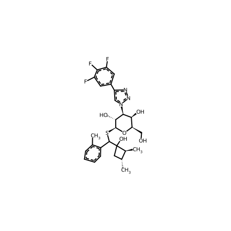 Cc1ccccc1C(S[C@@H]1O[C@H](CO)[C@H](O)[C@H](n2cc(-c3cc(F)c(F)c(F)c3)nn2)[C@H]1O)C1(O)C[C@@H](C)[C@@H]1C